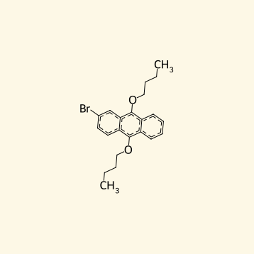 CCCCOc1c2ccccc2c(OCCCC)c2cc(Br)ccc12